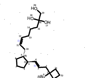 CCCCC1(C/C=C/[C@H]2CCC[C@@H]2C/C=C\CCCC(O)(O)CO)CCC1